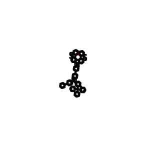 c1ccc(-c2ccc(N(c3ccc(-c4ccc(-n5c6ccc7sc8ccccc8c7c6c6c7c(ccc65)sc5ccccc57)cc4)cc3)c3ccc4c(c3)C(c3ccccc3)(c3ccccc3)c3ccccc3-4)cc2)cc1